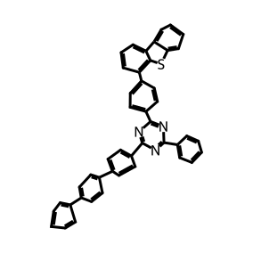 c1ccc(-c2ccc(-c3ccc(-c4nc(-c5ccccc5)nc(-c5ccc(-c6cccc7c6sc6ccccc67)cc5)n4)cc3)cc2)cc1